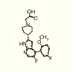 COc1ccc(F)cc1-c1c(F)cnc2[nH]c(C3CCN(CC(=O)O)CC3)cc12